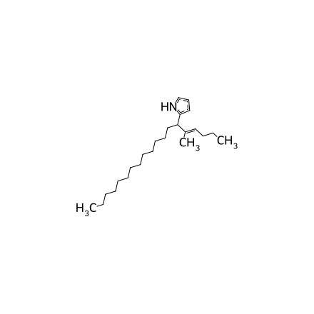 CCCC=C(C)C(CCCCCCCCCCCCC)c1ccc[nH]1